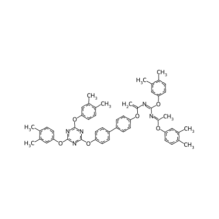 C=C(/N=C(\N=C(/C)Oc1ccc(C)c(C)c1)Oc1ccc(C)c(C)c1)Oc1ccc(-c2ccc(Oc3nc(Oc4ccc(C)c(C)c4)nc(Oc4ccc(C)c(C)c4)n3)cc2)cc1